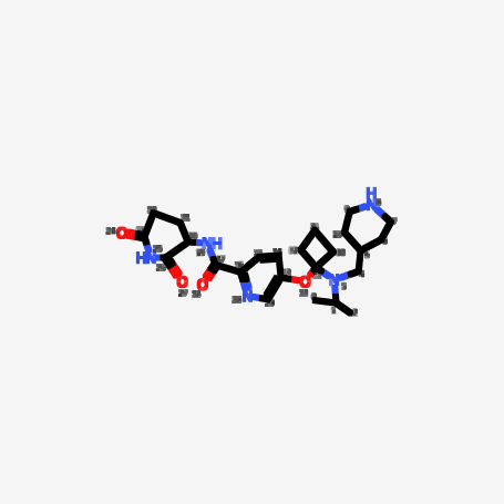 CC(C)N(CC1CCNCC1)C1(Oc2ccc(C(=O)NC3CCC(=O)NC3=O)nc2)CCC1